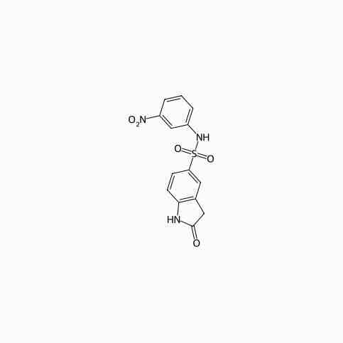 O=C1Cc2cc(S(=O)(=O)Nc3cccc([N+](=O)[O-])c3)ccc2N1